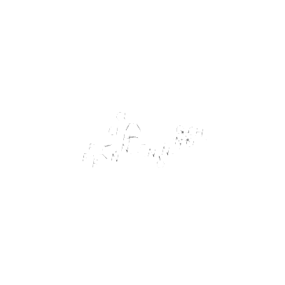 CS(=O)(=O)N1CCN(C(=O)N2CC(CNc3ccc(C(F)(F)F)cn3)[C@@H](c3ccc(Cl)c(Cl)c3)C2)CC1